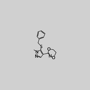 Cn1ncc(C2=NOCCO2)c1SCc1ccccc1